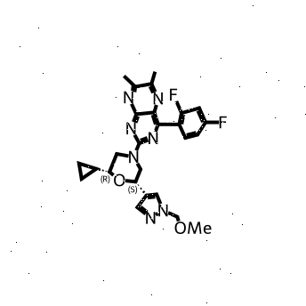 COCn1cc([C@H]2CN(c3nc(-c4ccc(F)cc4F)c4nc(C)c(C)nc4n3)C[C@@H](C3CC3)O2)cn1